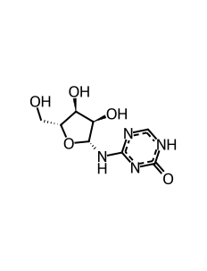 O=c1nc(N[C@@H]2O[C@H](CO)[C@@H](O)[C@H]2O)nc[nH]1